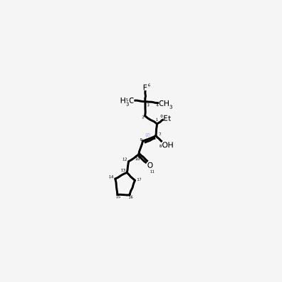 CCC(CC(C)(C)F)/C(O)=C/C(=O)CC1CCCC1